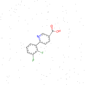 O=C(O)c1ccc(-c2cccc(F)c2F)nc1